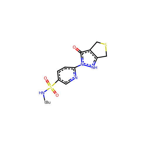 CC(C)(C)NS(=O)(=O)c1ccc(-n2[nH]c3c(c2=O)CSC3)nc1